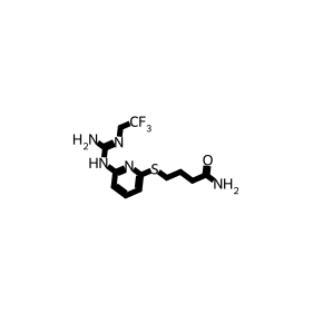 NC(=O)CCCSc1cccc(NC(N)=NCC(F)(F)F)n1